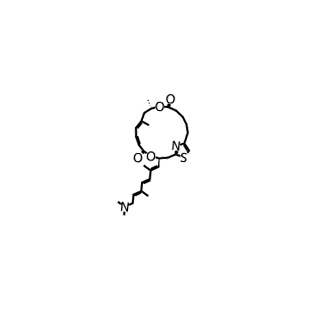 CC(/C=C/C(C)=C/[C@@H]1Cc2nc(cs2)CCCCC(=O)O[C@@H](C)C/C(C)=C/C=C\C(=O)O1)=C\CN(C)C